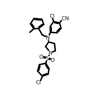 Cc1ccccc1CN(c1ccc(C#N)c(Cl)c1)[C@H]1CCN(S(=O)(=O)c2ccc(Cl)cc2)C1